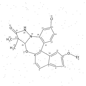 CCOc1ccc2ccc3c(c2c1)-c1ccc(Cl)cc1N1NC(=O)C(C)(C)C1O3